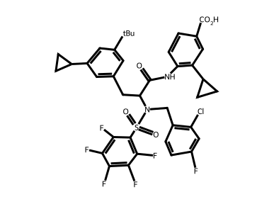 CC(C)(C)c1cc(CC(C(=O)Nc2ccc(C(=O)O)cc2C2CC2)N(Cc2ccc(F)cc2Cl)S(=O)(=O)c2c(F)c(F)c(F)c(F)c2F)cc(C2CC2)c1